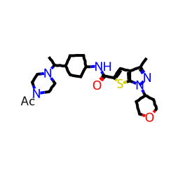 CC(=O)N1CCN(C(C)C2CCC(NC(=O)c3cc4c(C)nn(C5CCOCC5)c4s3)CC2)CC1